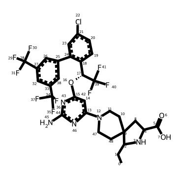 CCC1NC(C(=O)O)CC12CCN(c1cc(O[C@H](c3ccc(Cl)cc3-c3cc(C(F)(F)F)cc(C(F)(F)F)c3)C(F)(F)F)nc(N)n1)CC2